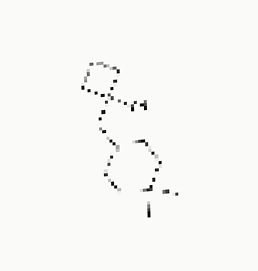 CC1(C)CCN(CC2(C#N)CCC2)CC1